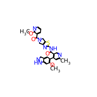 COc1cc2[nH]ncc2cc1-c1cc(C)ncc1C(=O)Nc1nc2c(s1)CN(C(=O)c1cccnc1OC)C2